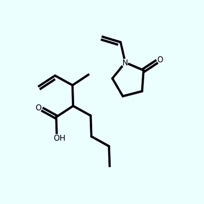 C=CC(C)C(CCCC)C(=O)O.C=CN1CCCC1=O